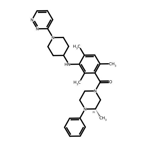 Cc1cc(C)c(C(=O)N2CCN(c3ccccc3)[C@@H](C)C2)c(C)c1NC1CCN(c2cccnn2)CC1